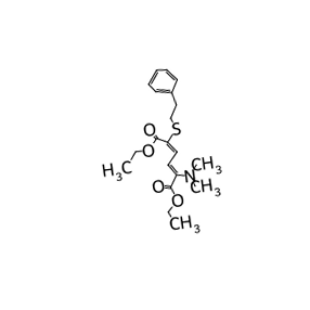 CCOC(=O)C(=CC=C(C(=O)OCC)N(C)C)SCCc1ccccc1